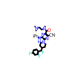 CC(C)Nc1nc(C(=O)N(C)CCN(C)C)c(C#N)nc1N1CCC([C@@H](F)c2ccc(F)cc2F)CC1